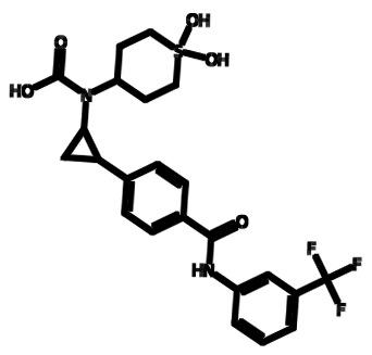 O=C(Nc1cccc(C(F)(F)F)c1)c1ccc(C2CC2N(C(=O)O)C2CCS(O)(O)CC2)cc1